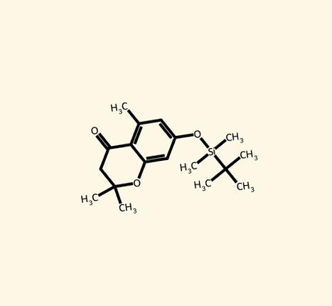 Cc1cc(O[Si](C)(C)C(C)(C)C)cc2c1C(=O)CC(C)(C)O2